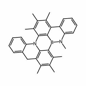 Cc1c(C)c2c3c(c1C)B1c4c(c(C)c(C)c(C)c4N3c3ccccc3C2)-c2ccccc2N1C